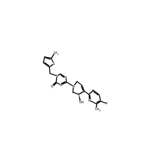 Cc1nc(C2=CCN(c3ncn(Cc4ccc(C(F)(F)F)s4)c(=O)n3)C[C@@H]2O)ccc1F